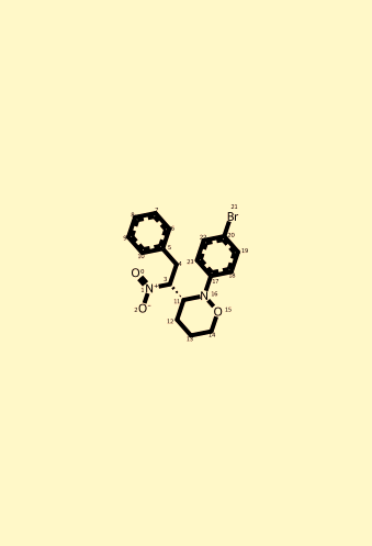 O=[N+]([O-])C(Cc1ccccc1)[C@H]1CCCON1c1ccc(Br)cc1